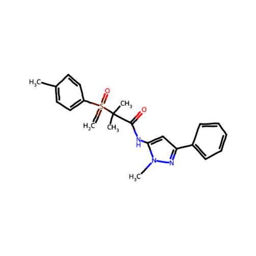 C=S(=O)(c1ccc(C)cc1)C(C)(C)C(=O)Nc1cc(-c2ccccc2)nn1C